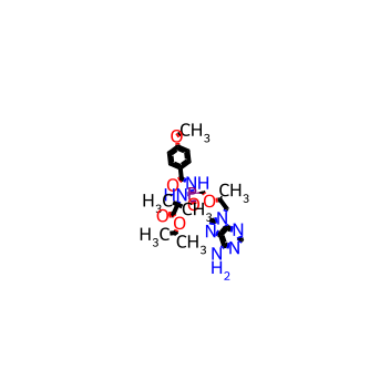 COc1ccc(C(=O)N[P@@](=O)(CO[C@H](C)Cn2cnc3c(N)ncnc32)NC(C)(C)C(=O)OC(C)C)cc1